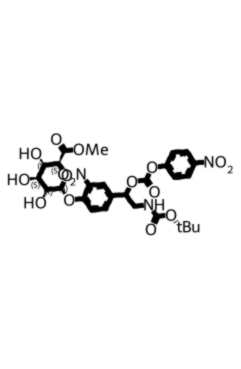 COC(=O)[C@H]1O[C@@H](Oc2ccc(C(CNC(=O)OC(C)(C)C)OC(=O)Oc3ccc([N+](=O)[O-])cc3)cc2[N+](=O)[O-])[C@H](O)[C@@H](O)[C@@H]1O